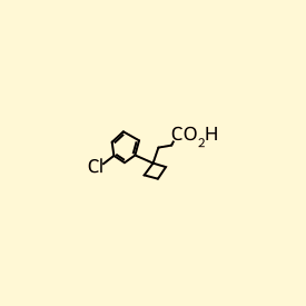 O=C(O)CCC1(c2cccc(Cl)c2)CCC1